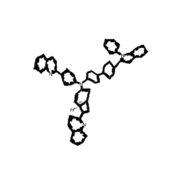 C1=C[C@H]2C(C=C1N(C1=CC=C(C3=CC=C(c4cc5ccccc5n4-c4ccccc4)CC3)CC1)c1ccc(-c3ccc4ccccc4n3)cc1)CC2c1ccc2ccccc2n1